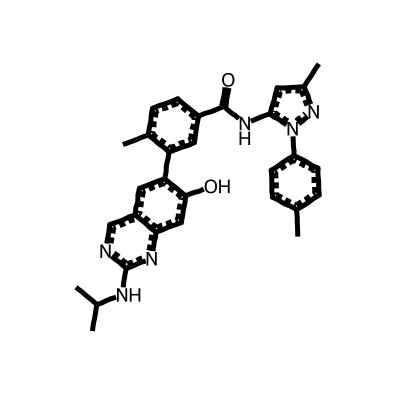 Cc1ccc(-n2nc(C)cc2NC(=O)c2ccc(C)c(-c3cc4cnc(NC(C)C)nc4cc3O)c2)cc1